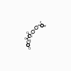 O=C(NCc1ccc(Cl)cc1F)c1cnc(N2CCN(C3CCN(Cc4ccc(F)cc4F)CC3)CC2)c(Cl)c1